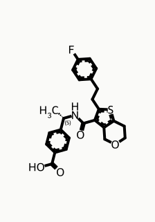 C[C@H](NC(=O)c1c(CCc2ccc(F)cc2)sc2c1COCC2)c1ccc(C(=O)O)cc1